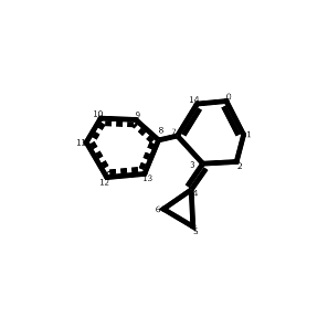 C1=CCC(=C2CC2)C(c2ccccc2)=C1